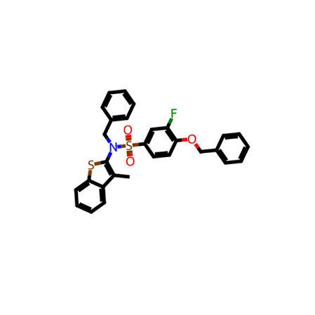 Cc1c(N(Cc2ccccc2)S(=O)(=O)c2ccc(OCc3ccccc3)c(F)c2)sc2ccccc12